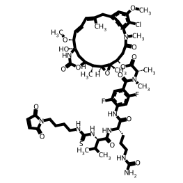 COc1cc2cc(c1Cl)N(C)C(=O)C[C@H](OC(=O)[C@H](C)N(C)C(=O)c1cc(F)c(NC(=O)[C@H](CCCNC(N)=O)NC(=O)[C@@H](NC(=S)NCCCCN3C(=O)C=CC3=O)C(C)C)cc1F)[C@]1(C)O[C@H]1[C@H](C)[C@@H]1C[C@@](O)(NC(=O)O1)[C@H](OC)/C=C/C=C(\C)C2